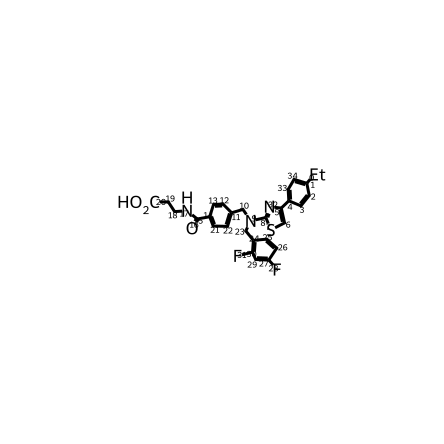 CCc1ccc(-c2csc(N(Cc3ccc(C(=O)NCCC(=O)O)cc3)Cc3ccc(F)cc3F)n2)cc1